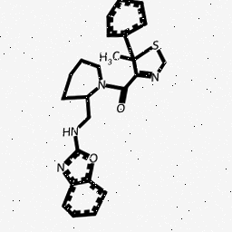 CC1(c2ccccc2)SCN=C1C(=O)N1CCCCC1CNc1nc2ccccc2o1